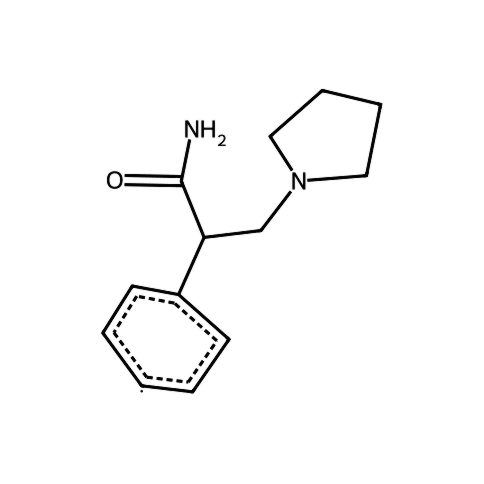 NC(=O)C(CN1CCCC1)c1cc[c]cc1